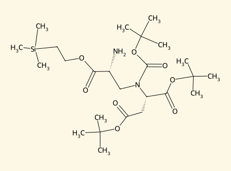 CC(C)(C)OC(=O)C[C@@H](C(=O)OC(C)(C)C)N(C[C@@H](N)C(=O)OCC[Si](C)(C)C)C(=O)OC(C)(C)C